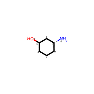 N[C@@H]1CCCC(O)C1